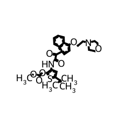 COC(=O)Oc1sc(C(C)(C)C)cc1NC(=O)C(=O)c1ccc(OCCN2CCOCC2)c2ccccc12